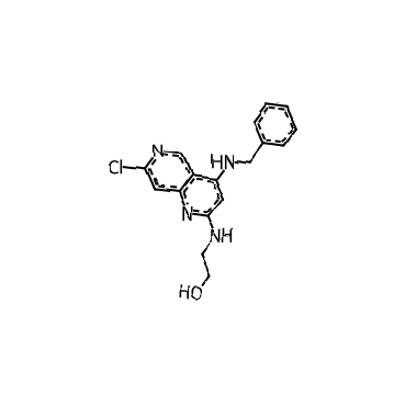 OCCNc1cc(NCc2ccccc2)c2cnc(Cl)cc2n1